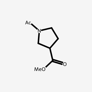 COC(=O)C1CCN(C(C)=O)C1